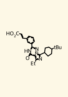 CCc1nc(C2CCC(C(C)(C)C)CC2)n2nc(-c3cccc(C=CC(=O)O)c3)[nH]c(=O)c12